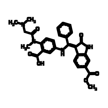 COC(=O)c1ccc2c(c1)NC(=O)C2=C(Nc1ccc(N(C)C(=O)CN(C)C)c(C(=O)O)c1)c1ccccc1